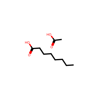 CC(=O)O.CCCCCCCC(=O)O